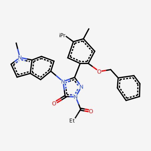 CCC(=O)n1nc(-c2cc(C(C)C)c(C)cc2OCc2ccccc2)n(-c2ccc3c(ccn3C)c2)c1=O